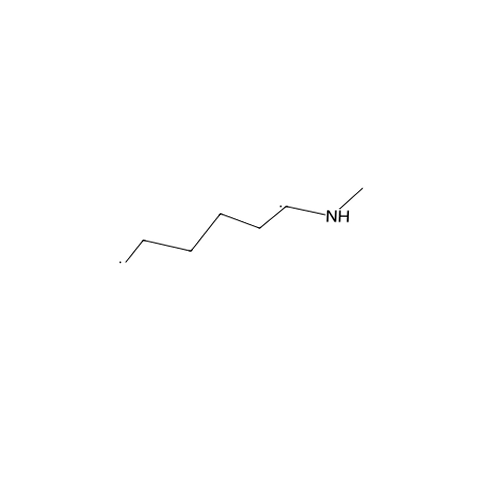 [CH2]CCCC[CH]NC